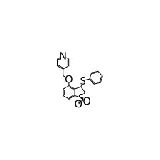 O=S1(=O)CC(Sc2ccccc2)c2c(OCc3ccncc3)cccc21